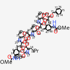 COC(=O)Nc1ccc(C[C@H](OC(=O)[C@@H](CC(C)C)N(C)C(=O)OC(C)(C)C)C(=O)N(C)[C@H](CC(C)C)C(=O)O[C@@H](C)C(=O)N(C)[C@H](CC(C)C)C(=O)O[C@@H](Cc2ccc(NC(=O)OC)cc2)C(=O)N(C)[C@H](CC(C)C)C(=O)O[C@@H](C)C(=O)OCc2ccccc2)cc1